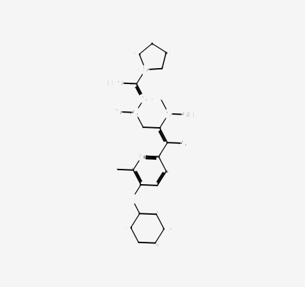 Cc1nc(/C(N)=C(\CN(N)/N=C(\N)N2CCCC2)N(C)N)ccc1OC1CCCCC1